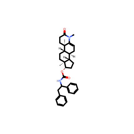 CN1C(=O)CC[C@@]2(C)C1=CC[C@H]1[C@@H]3CC[C@H](OC(=O)NC(Cc4ccccc4)c4ccccc4)[C@@]3(C)CC[C@@H]12